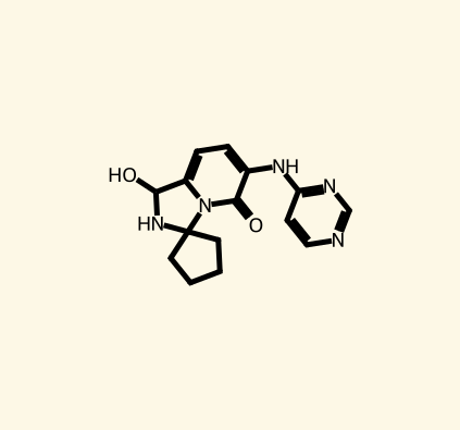 O=c1c(Nc2ccncn2)ccc2n1C1(CCCC1)NC2O